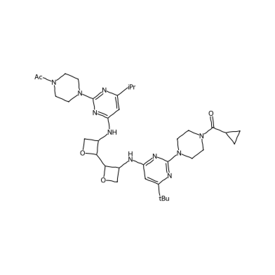 CC(=O)N1CCN(c2nc(NC3COC3C3OCC3Nc3cc(C(C)(C)C)nc(N4CCN(C(=O)C5CC5)CC4)n3)cc(C(C)C)n2)CC1